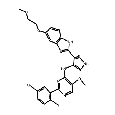 COCCOc1ccc2[nH]c(-c3n[nH]cc3Nc3nc(-c4cc(Cl)ccc4F)ncc3OC)nc2c1